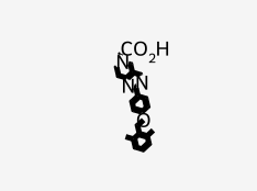 Cc1cccc(C)c1COc1ccc(-c2ncc3c(n2)CCN(CC(=O)O)C3)cc1